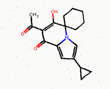 CC(=O)C1=C(O)C2(CCCCC2)n2cc(C3CC3)cc2C1=O